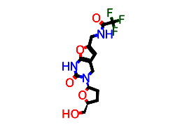 O=C1Nc2oc(CNC(=O)C(F)(F)F)cc2CN1[C@H]1CC[C@@H](CO)O1